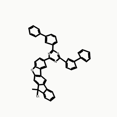 CCC1(C)c2ccccc2-c2cc3c(cc21)oc1ccc(-c2nc(-c4cccc(-c5ccccc5)c4)nc(-c4cccc(-c5ccccc5)c4)n2)cc13